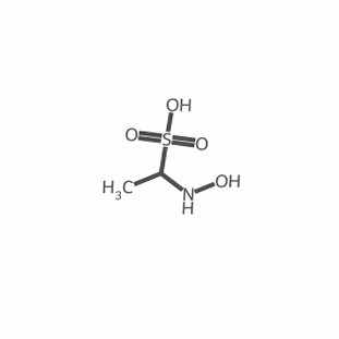 CC(NO)S(=O)(=O)O